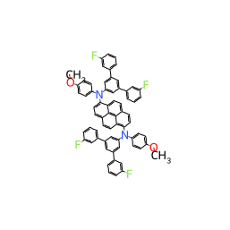 COc1ccc(N(c2cc(-c3cccc(F)c3)cc(-c3cccc(F)c3)c2)c2ccc3ccc4c(N(c5ccc(OC)cc5)c5cc(-c6cccc(F)c6)cc(-c6cccc(F)c6)c5)ccc5ccc2c3c54)cc1